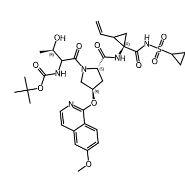 C=CC1C[C@]1(NC(=O)[C@@H]1C[C@@H](Oc2nccc3cc(OC)ccc23)CN1C(=O)C(NC(=O)OC(C)(C)C)[C@@H](C)O)C(=O)NS(=O)(=O)C1CC1